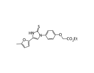 CCOC(=O)COc1ccc(-n2cc(-c3ccc(C)o3)[nH]c2=S)cc1